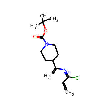 C=C/C(Cl)=N\C(=C)C1CCN(C(=O)OC(C)(C)C)CC1